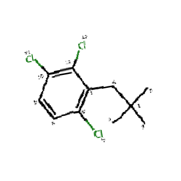 CC(C)(C)Cc1c(Cl)ccc(Cl)c1Cl